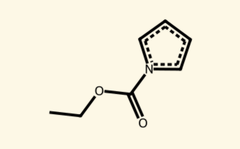 CCOC(=O)n1cccc1